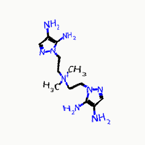 C[N+](C)(CCn1ncc(N)c1N)CCn1ncc(N)c1N